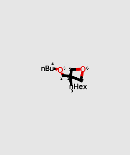 CCCCCCC1(COCCCC)COC1